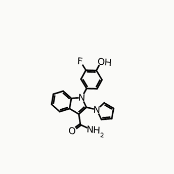 NC(=O)c1c(-n2cccc2)n(-c2ccc(O)c(F)c2)c2ccccc12